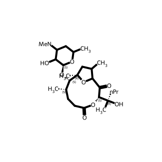 CCC[C@@](C)(O)[C@@H]1OC(=O)CC[C@H](C)[C@H](O[C@@H]2OC(C)CC(NC)C2O)[C@@]2(C)CC(C)C(O2)C1=O